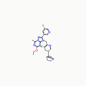 CCOc1nc(C)c2nc(-c3cncc(F)c3)n(CC3=C(F)CC(C4=CN5CCC4CC5)C=N3)c2n1